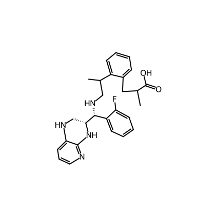 CC(Cc1ccccc1C(C)CN[C@H](c1ccccc1F)[C@H]1CNc2cccnc2N1)C(=O)O